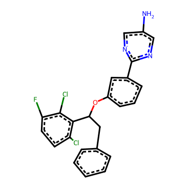 Nc1cnc(-c2cccc(OC(Cc3ccccc3)c3c(Cl)ccc(F)c3Cl)c2)nc1